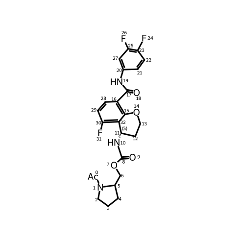 CC(=O)N1CCCC1COC(=O)N[C@H]1CCOc2c(C(=O)Nc3ccc(F)c(F)c3)ccc(F)c21